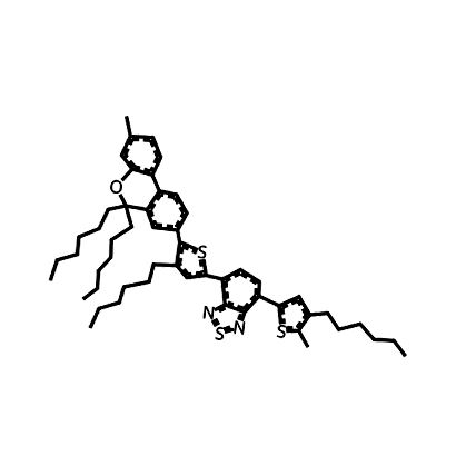 CCCCCCc1cc(-c2ccc(-c3cc(CCCCCC)c(-c4ccc5c(c4)C(CCCCCC)(CCCCCC)Oc4cc(C)ccc4-5)s3)c3nsnc23)sc1C